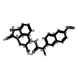 COc1ccc2cc([C@@H](C)C(=O)O[C@H]3c4cccc5[nH]c(=O)n(c45)CC3Br)ccc2c1